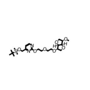 CO[C@@H]1CO[C@H]2[C@@H]1OC[C@H]2OCCOCCOc1nccc(CO[Si](C)(C)C(C)(C)C)n1